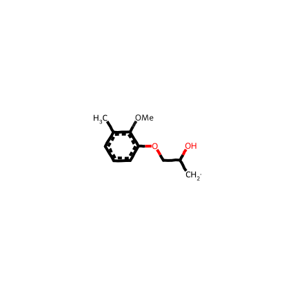 [CH2]C(O)COc1cccc(C)c1OC